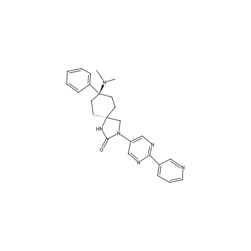 CN(C)[C@]1(c2ccccc2)CC[C@]2(CC1)CN(c1cnc(-c3cccnc3)nc1)C(=O)N2